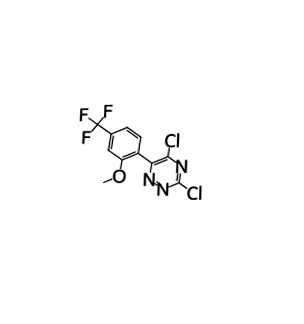 COc1cc(C(F)(F)F)ccc1-c1nnc(Cl)nc1Cl